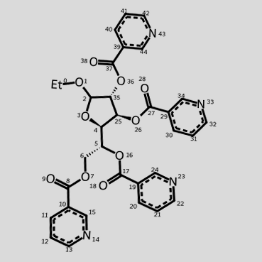 CCOC1O[C@H]([C@@H](COC(=O)c2cccnc2)OC(=O)c2cccnc2)[C@H](OC(=O)c2cccnc2)[C@H]1OC(=O)c1cccnc1